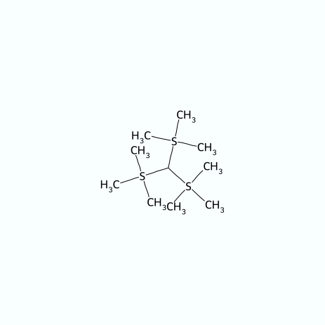 CS(C)(C)C(S(C)(C)C)S(C)(C)C